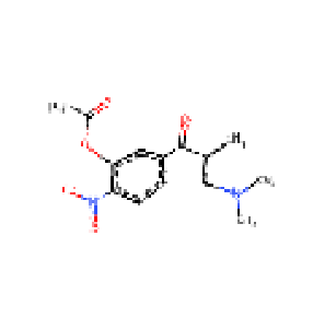 CC(=O)Oc1cc(C(=O)C(C)CN(C)C)ccc1[N+](=O)[O-]